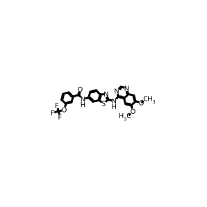 COc1cc2ncnc(Nc3nc4ccc(NC(=O)c5cccc(OC(F)(F)F)c5)cc4s3)c2cc1OC